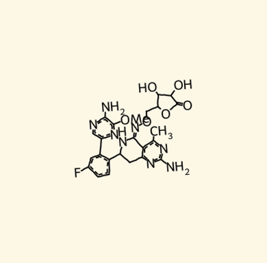 COc1nc(-c2cc(F)ccc2C2Cc3nc(N)nc(C)c3C(=NOCC3OC(=O)C(O)C3O)N2)cnc1N